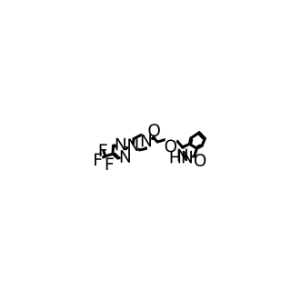 O=C(CCOCc1n[nH]c(=O)c2ccccc12)N1CCN(c2ncc(C(F)(F)F)cn2)CC1